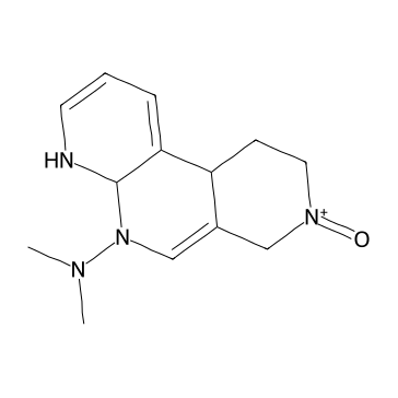 CN(C)N1C=C2C[N+](=O)CCC2C2=CC=CNC21